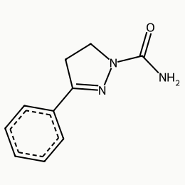 NC(=O)N1CCC(c2ccccc2)=N1